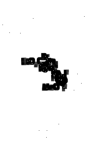 CCOC(=O)c1ncn2c(NCc3cc(OC)c(F)cc3F)ncc(Br)c12